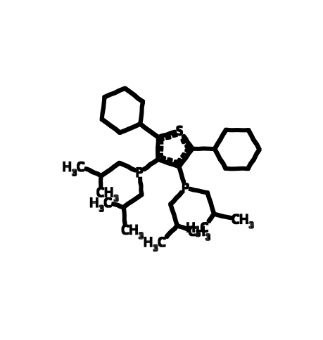 CC(C)CP(CC(C)C)c1c(C2CCCCC2)sc(C2CCCCC2)c1P(CC(C)C)CC(C)C